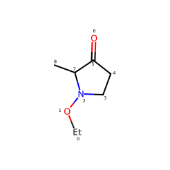 CCON1CCC(=O)C1C